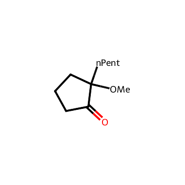 CCCCCC1(OC)CCCC1=O